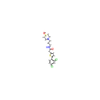 O=C(Cc1ccc(-c2ccc(Cl)cc2Cl)s1)NCCCN1CC[S+]([O-])CC1